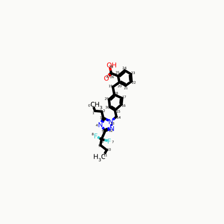 CCCc1nc(C(F)(F)CCC)nn1Cc1ccc(Cc2ccccc2C(=O)O)cc1